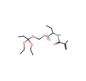 C=C(C)C(=O)NC(CC)[SiH2]OCOC(CC)(OCC)OCC